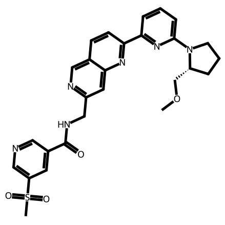 COC[C@H]1CCCN1c1cccc(-c2ccc3cnc(CNC(=O)c4cncc(S(C)(=O)=O)c4)cc3n2)n1